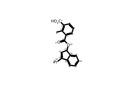 Cc1c(C(=O)O)cccc1C(=O)OC1C=C(C(C)C)c2ccccc21